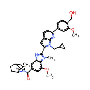 COc1cc(-c2ccc3cc(-c4nc5cc(C(=O)N6CC7CCC6[C@@H]7C)cc(OC)c5n4C)n(CC4CC4)c3n2)ccc1CO